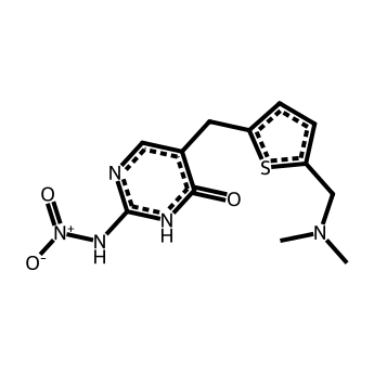 CN(C)Cc1ccc(Cc2cnc(N[N+](=O)[O-])[nH]c2=O)s1